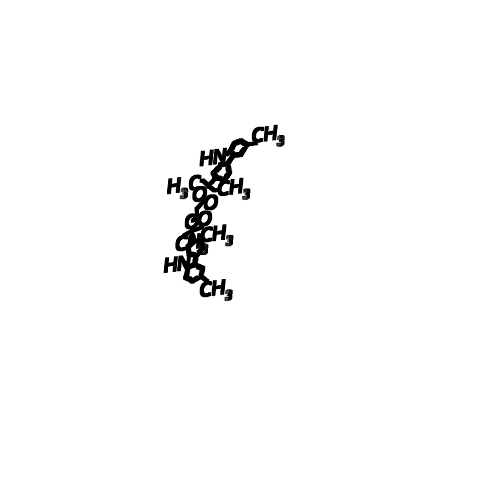 CCc1ccc2[nH]c3cc(C(CC)(CC)OC(=O)CC(=O)OC(CC)(CC)c4ccc5c(c4)[nH]c4ccc(CC)cc45)ccc3c2c1